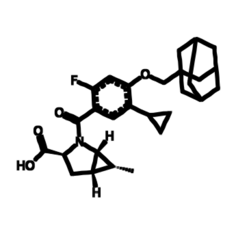 C[C@@H]1[C@@H]2C[C@@H](C(=O)O)N(C(=O)c3cc(C4CC4)c(OCC45CC6CC(CC(C6)C4)C5)cc3F)[C@H]12